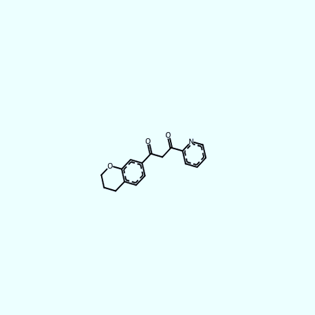 O=C(CC(=O)c1ccccn1)c1ccc2c(c1)OCCC2